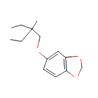 CCC(C)(CC)COc1ccc2c(c1)OCO2